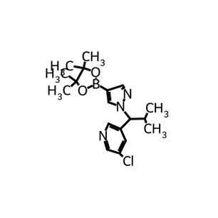 CC(C)C(c1cncc(Cl)c1)n1cc(B2OC(C)(C)C(C)(C)O2)cn1